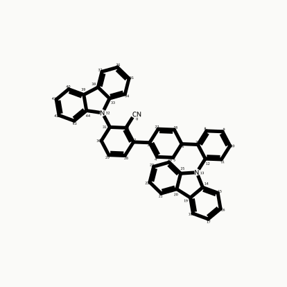 N#CC1=C(C2=CCC(c3ccccc3-n3c4ccccc4c4ccccc43)C=C2)C=CCC1n1c2ccccc2c2ccccc21